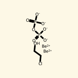 O=P([O-])([O-])OP(=O)([O-])[O-].OCCCl.[Be+2].[Be+2]